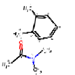 CC(=O)N(C)C.Cc1ccccc1C